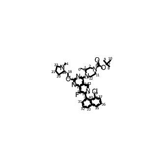 C[C@H]1CN(C(=O)OC(C)(C)C)CCN1c1nc(OC[C@@H]2CCCN2C)nc2c(F)c(-c3cccc4cccc(Cl)c34)ncc12